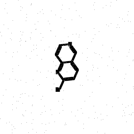 Brc1ccc2cnccc2n1